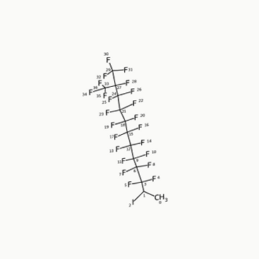 CC(I)C(F)(F)C(F)(F)C(F)(F)C(F)(F)C(F)(F)C(F)(F)C(F)(F)C(F)(F)C(F)(C(F)(F)F)C(F)(F)F